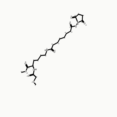 COCC(=O)NC(CCCCNC(=O)CCCCCCC(=O)ON1C(=O)CCC1=O)C(=O)OC